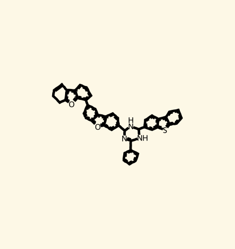 C1=Cc2c(oc3c(-c4ccc5oc6cc(C7N=C(c8ccccc8)NC(c8ccc9c(c8)sc8ccccc89)N7)ccc6c5c4)cccc23)CC1